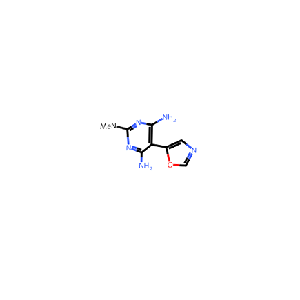 CNc1nc(N)c(-c2cnco2)c(N)n1